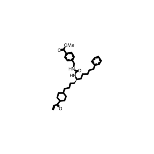 C=CC(=O)C1CCC(CCCC[C@H](CCCCCc2ccccc2)NC(=O)NCc2ccc(C(=O)OC)cc2)CC1